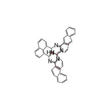 c1ccc(C2=NC(c3ccc4ccccc4c3)=NC(c3cccc4cccc(-c5nc(-c6ccccc6)nc(-c6ccc7ccccc7c6)n5)c34)N2)cc1